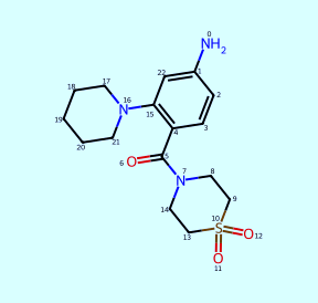 Nc1ccc(C(=O)N2CCS(=O)(=O)CC2)c(N2CCCCC2)c1